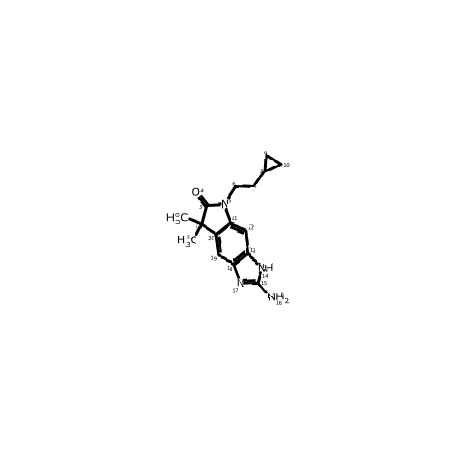 CC1(C)C(=O)N(CCC2CC2)c2cc3[nH]c(N)nc3cc21